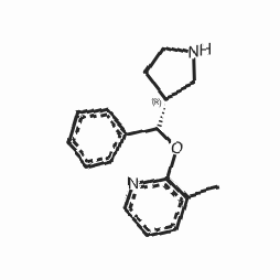 Cc1cccnc1OC(c1ccccc1)[C@@H]1CCNC1